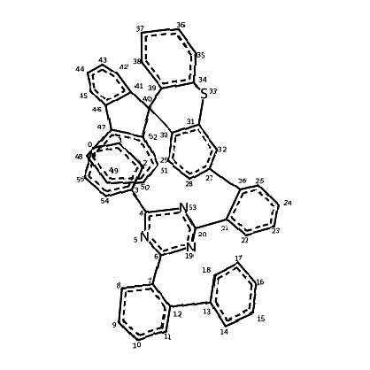 c1ccc(-c2nc(-c3ccccc3-c3ccccc3)nc(-c3ccccc3-c3ccc4c(c3)Sc3ccccc3C43c4ccccc4-c4ccccc43)n2)cc1